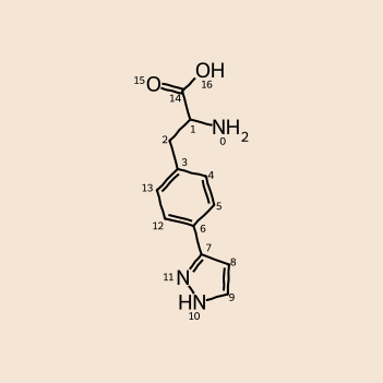 NC(Cc1ccc(-c2cc[nH]n2)cc1)C(=O)O